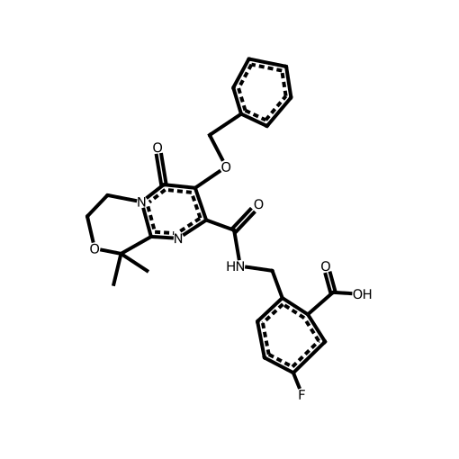 CC1(C)OCCn2c1nc(C(=O)NCc1ccc(F)cc1C(=O)O)c(OCc1ccccc1)c2=O